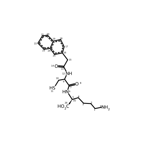 NCCCC[C@H](NC(=O)C(CS)NC(=O)Cc1ccc2ccccc2c1)C(=O)O